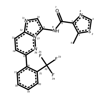 Cc1scnc1C(=O)Nc1cnc2ccc(-c3ccccc3C(F)(F)F)nn12